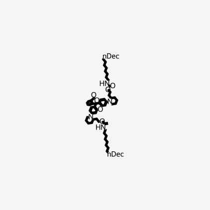 C=C(NCCCCCCCCCCCCCCCCCC)OCCC1CCCCN1c1ccc2c(c1)Oc1cc(N3CCCCC3CCOC(=O)NCCCCCCCCCCCCCCCCCC)ccc1C21OC(=O)c2ccccc21